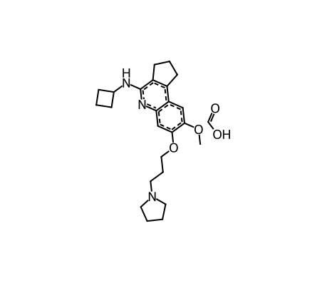 COc1cc2c3c(c(NC4CCC4)nc2cc1OCCCN1CCCC1)CCC3.O=CO